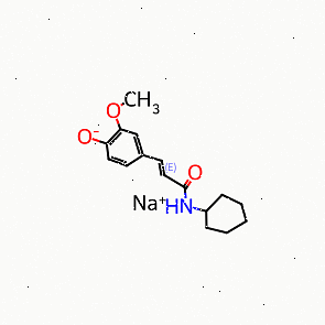 COc1cc(/C=C/C(=O)NC2CCCCC2)ccc1[O-].[Na+]